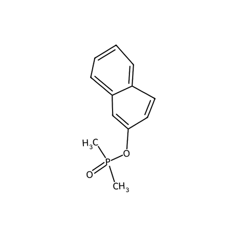 CP(C)(=O)Oc1ccc2ccccc2c1